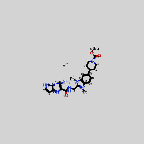 CCn1c(CNC(=O)c2nc3cc[nH]c3nc2N)[n+](CC)c2ccc(C3CCN(C(=O)OC(C)(C)C)CC3)cc21.[I-]